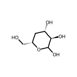 OC[C@@H]1C[C@H](O)[C@@H](O)C(O)O1